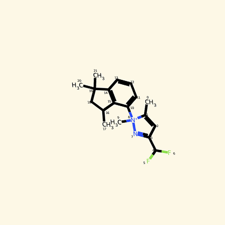 CC1=CC(C(F)F)=N[N+]1(C)c1cccc2c1C(C)CC2(C)C